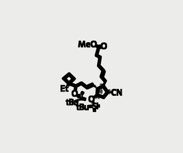 CCC1(C(CC=C[C@@H]2[C@@H](CC=CCCCC(=O)OC)[C@H](C#N)C[C@H]2O[Si](C)(C)C(C)(C)C)O[Si](C)(C)C(C)(C)C)CCC1